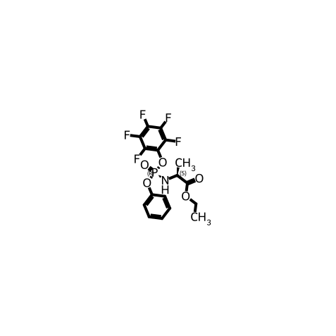 CCOC(=O)[C@H](C)N[P@@](=O)(Oc1ccccc1)Oc1c(F)c(F)c(F)c(F)c1F